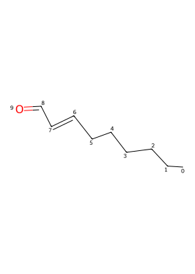 CCCCCCC=CC=O